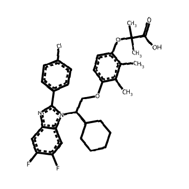 Cc1c(OCC(C2CCCCC2)n2c(-c3ccc(Cl)cc3)nc3cc(F)c(F)cc32)ccc(OC(C)(C)C(=O)O)c1C